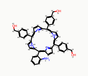 Nc1ccccc1-c1c2nc(c(-c3ccc(CO)cc3)c3ccc([nH]3)c(-c3ccc(CO)cc3)c3nc(c(-c4ccc(CO)cc4)c4ccc1[nH]4)C=C3)C=C2